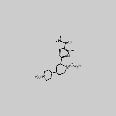 Cc1nc(C2CC(C3CCN(C(C)(C)C)CC3)CCN2C(=O)O)ccc1C(=O)N(C)C